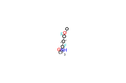 Cc1cc(-c2ccc(NC(=O)C(F)(F)F)cc2F)c(C)cc1-c1ccc(OCc2ccccc2)c(F)c1